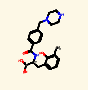 Cc1cccc(C[C@H](NC(=O)c2ccc(CN3CCNCC3)cc2)B(O)O)c1O